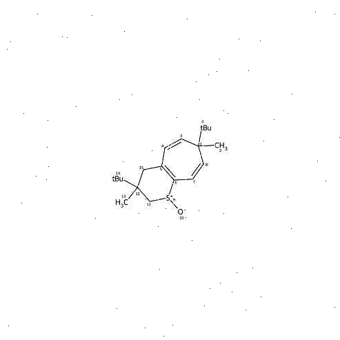 CC(C)(C)C1(C)C=CC2=C(C=C1)[S+]([O-])CC(C)(C(C)(C)C)C2